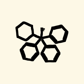 BrP(c1ccccc1)(c1ccccc1)(c1ccccc1)C1CCCCC1